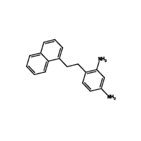 Nc1ccc(CCc2cccc3ccccc23)c(N)c1